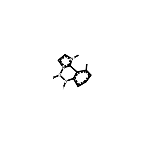 Cc1cccc2c1-c1n(cc[n+]1C)B(I)N2I